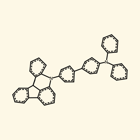 CC12c3ccccc3-c3cccc(c31)N(c1ccc(-c3ccc(N(c4ccccc4)c4ccccc4)cc3)cc1)c1ccccc12